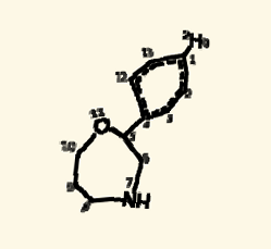 [2H]c1ccc(C2CNCCCO2)cc1